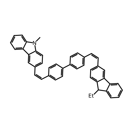 CCC1c2ccccc2-c2cc(/C=C\c3ccc(-c4ccc(/C=C\c5ccc6c(c5)c5ccccc5n6C)cc4)cc3)ccc21